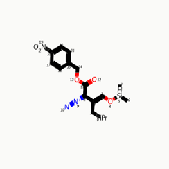 CC(C)CC(=CO[SiH](C)C)C(=[N+]=[N-])C(=O)OCc1ccc([N+](=O)[O-])cc1